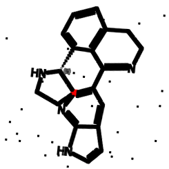 c1cc2c(c([C@@H]3CCCN3)c1)C(c1cnc3[nH]ccc3c1)=NCC2